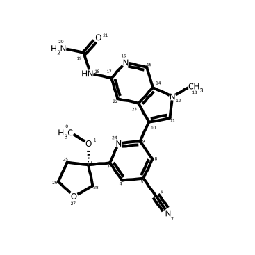 CO[C@@]1(c2cc(C#N)cc(-c3cn(C)c4cnc(NC(N)=O)cc34)n2)CCOC1